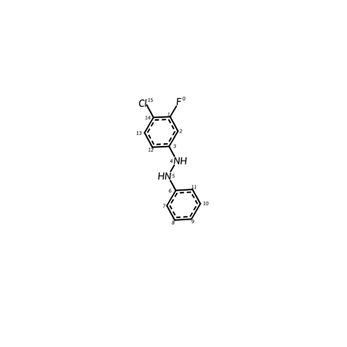 Fc1cc(NNc2ccccc2)ccc1Cl